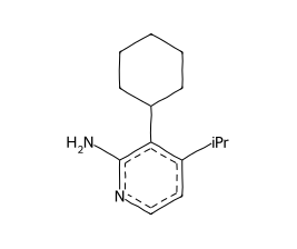 CC(C)c1ccnc(N)c1C1CCCCC1